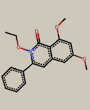 CCOn1c(-c2ccccc2)cc2cc(OC)cc(OC)c2c1=O